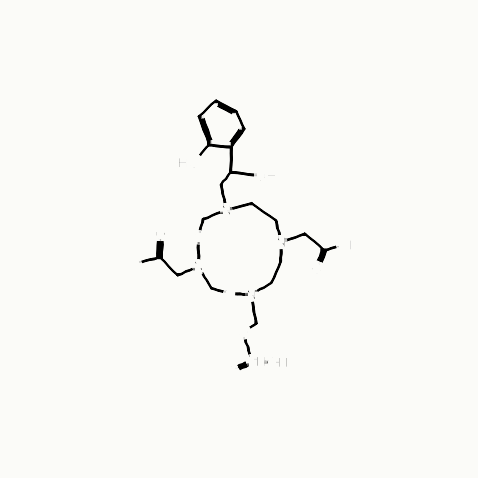 O=C(O)CN1CCN(CO[PH](=O)O)CCN(CC(=O)O)CCN(CC(O)c2ccccc2O)CC1